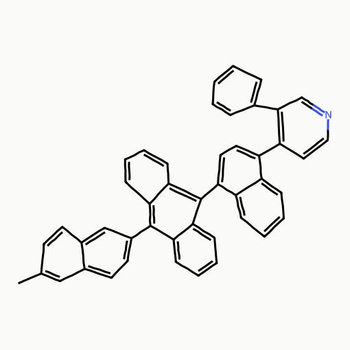 Cc1ccc2cc(-c3c4ccccc4c(-c4ccc(-c5ccncc5-c5ccccc5)c5ccccc45)c4ccccc34)ccc2c1